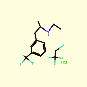 CCNC(C)Cc1cccc(C(F)(F)F)c1.Cl.FCC(F)(F)F